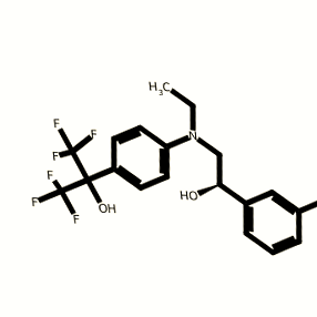 CCN(C[C@H](O)c1cccc(Cl)c1)c1ccc(C(O)(C(F)(F)F)C(F)(F)F)cc1